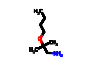 CCCCOC(C)(C)CN